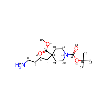 COC(=O)C1(CCCCN)CCN(C(=O)OC(C)(C)C)CC1